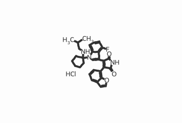 CC(C)CNC1(n2cc(C3=C(c4cccc5ccoc45)C(=O)NC3=O)c3c(F)cccc32)CCCCC1.Cl